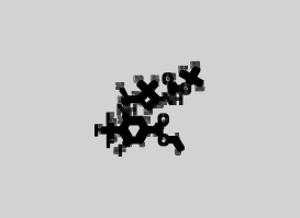 CCOC(=O)c1cc(F)c(C(F)(F)F)c(N[C@@H](C)[C@@H]2C[C@H](NC(=O)OC(C)(C)C)C2(C)C)c1